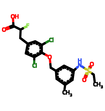 CCS(=O)(=O)Nc1cc(C)cc(COc2c(Cl)cc(CC(F)C(=O)O)cc2Cl)c1